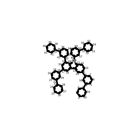 c1ccc(-c2cccc(-c3ccc4c(c3)c3cc(-c5cccc(-c6ccccc6)c5)cc(-c5cccc(-c6ccccc6)c5)c3n4-c3cccc(-c4ccccc4)c3)c2)cc1